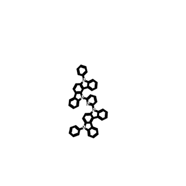 c1ccc(-n2c3ccccc3c3c4c5ccccc5n(-c5cccc(-n6c7ccccc7c7ccc8c(c9ccccc9n8-c8ccccc8)c76)n5)c4ccc32)cc1